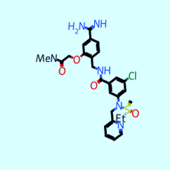 C=S(=O)(CC)N(Cc1ccccn1)c1cc(Cl)cc(C(=O)NCc2ccc(C(=N)N)cc2OCC(=O)NC)c1